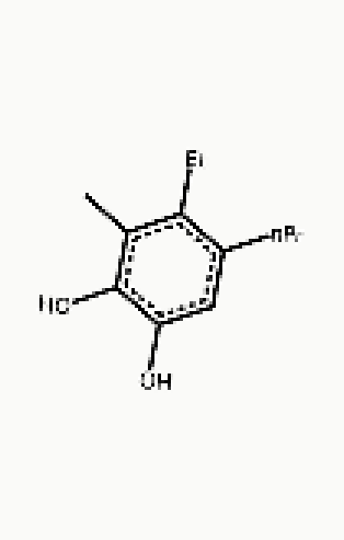 CCCc1cc(O)c(O)c(C)c1CC